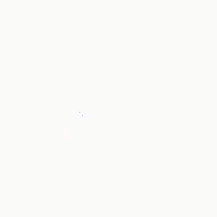 CSc1ccc2c(c1)CCN(C(C)=O)CC2